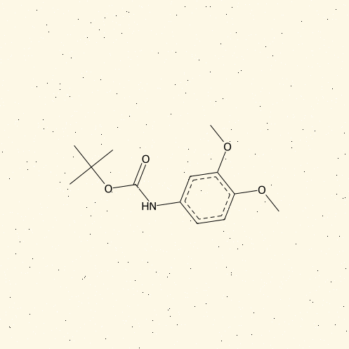 COc1ccc(NC(=O)OC(C)(C)C)cc1OC